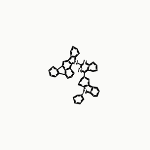 c1ccc(-n2c3ccccc3c3cc(-c4nc(-n5c6ccccc6c6cc7c8c(cccc8c65)-c5ccccc5-7)nc5ccccc45)ccc32)cc1